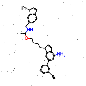 C#Cc1cccc(-c2cc(N)c3c(c2)C(CCCCOC(C)NCc2ccc4c(c2)C(C(C)C)C=C4)C=C3)c1